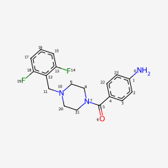 Nc1ccc(C(=O)N2CCN(Cc3c(F)cccc3F)CC2)cc1